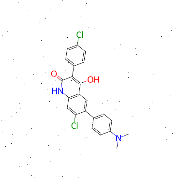 CN(C)c1ccc(-c2cc3c(O)c(-c4ccc(Cl)cc4)c(=O)[nH]c3cc2Cl)cc1